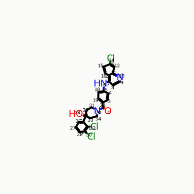 O=C(c1ccc(Nc2ccnc3cc(Cl)ccc23)cc1)N1CCC(O)(c2cccc(Cl)c2Cl)CC1